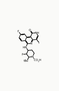 CC(C)(C)C1C(F)C(Nc2nc3c(I)c[nH]c(=O)c3c3cc(F)ccc23)CCN1C(=O)O